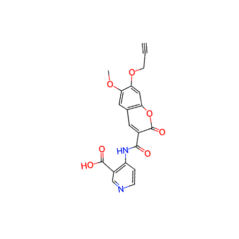 C#CCOc1cc2oc(=O)c(C(=O)Nc3ccncc3C(=O)O)cc2cc1OC